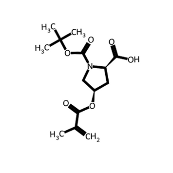 C=C(C)C(=O)O[C@@H]1C[C@H](C(=O)O)N(C(=O)OC(C)(C)C)C1